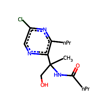 CCCC(=O)NC(C)(CO)c1ncc(Cl)nc1CCC